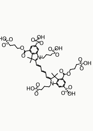 CC1(C)C(/C=C/C=C/C=C2/N(CCCS(=O)(=O)O)c3cc(S(=O)(=O)O)cc(C(=O)OCCCS(=O)(=O)O)c3C2(C)C)=[N+](CCCS(=O)(=O)O)c2cc(S(=O)(=O)O)cc(C(=O)OCCCS(=O)(=O)O)c21